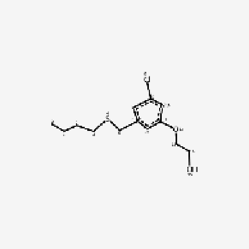 CCCCSCc1cc(Cl)nc(OCCO)c1